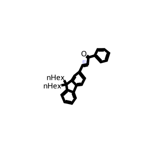 CCCCCCC1(CCCCCC)c2ccccc2-c2ccc(/C=C/C(=O)c3ccccc3)cc21